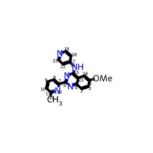 COc1ccc2nc(-c3cccc(C)n3)nc(Nc3ccncc3)c2c1